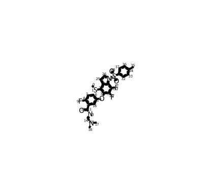 CSc1c(Oc2ccc(F)c(C(=O)N=CN(C)C)c2)c(F)c(F)c2c1ccn2S(=O)(=O)c1ccc(C)cc1